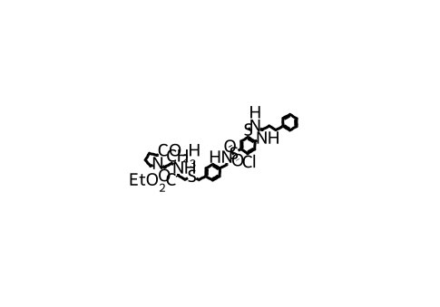 CCOC(=O)[C@@H](CSCc1ccc(CNS(=O)(=O)c2cc3c(cc2Cl)NC(CCc2ccccc2)NS3)cc1)N[C@@H](C)C(=O)N1CCC[C@H]1C(=O)O